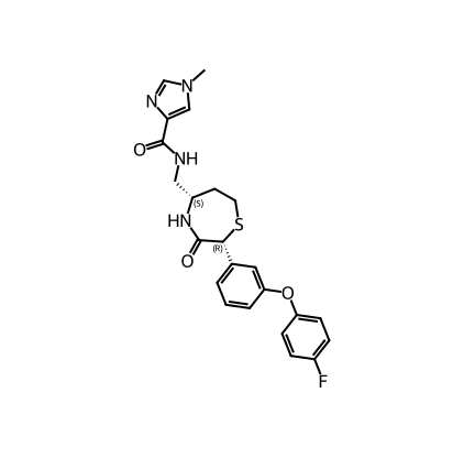 Cn1cnc(C(=O)NC[C@@H]2CCS[C@H](c3cccc(Oc4ccc(F)cc4)c3)C(=O)N2)c1